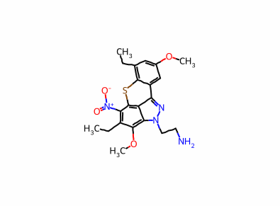 CCc1cc(OC)cc2c1Sc1c([N+](=O)[O-])c(CC)c(OC)c3c1c-2nn3CCN